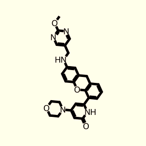 COc1ncc(CNc2ccc3c(c2)Cc2cccc(-c4cc(N5CCOCC5)cc(=O)[nH]4)c2O3)cn1